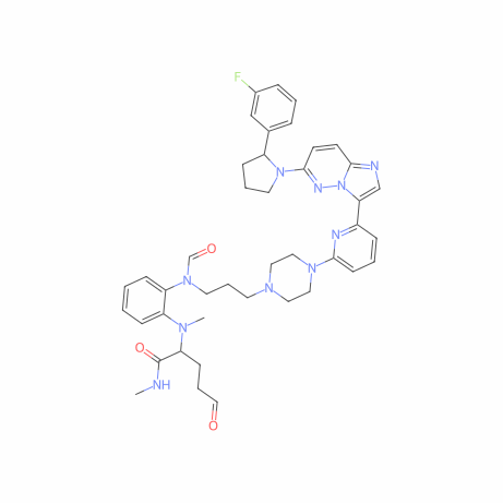 CNC(=O)C(CCC=O)N(C)c1ccccc1N(C=O)CCCN1CCN(c2cccc(-c3cnc4ccc(N5CCCC5c5cccc(F)c5)nn34)n2)CC1